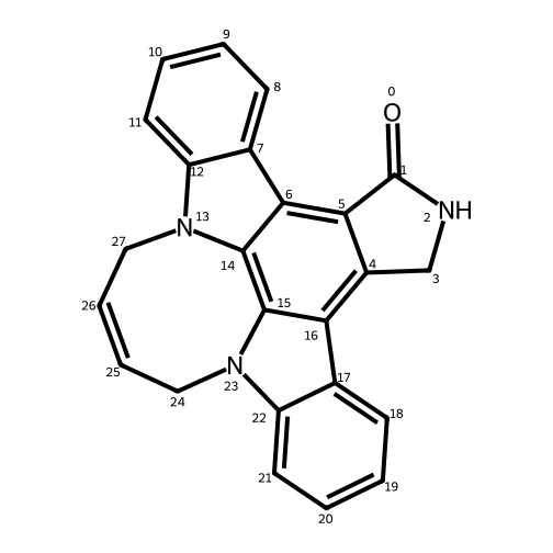 O=C1NCc2c1c1c3ccccc3n3c1c1c2c2ccccc2n1C/C=C\C3